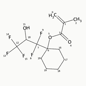 C=C(C)C(=O)OC1(C(F)(F)C(O)C(F)(F)F)CCCCC1